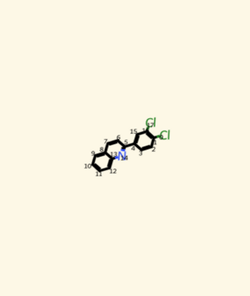 Clc1ccc(-c2ccc3ccccc3n2)cc1Cl